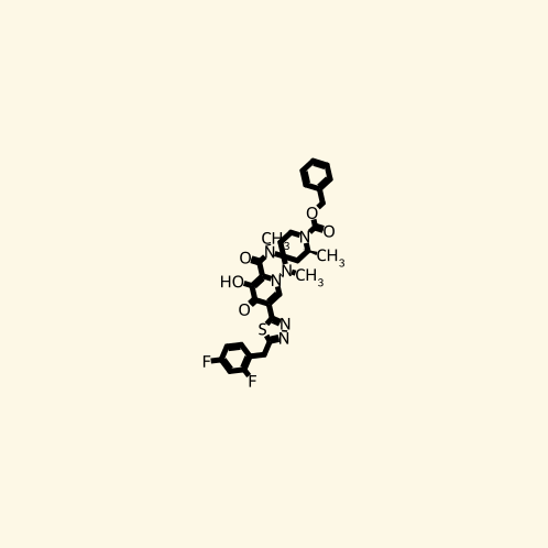 C[C@H]1CC2(CCN1C(=O)OCc1ccccc1)N(C)C(=O)c1c(O)c(=O)c(-c3nnc(Cc4ccc(F)cc4F)s3)cn1N2C